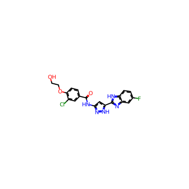 O=C(Nc1cc(-c2nc3cc(F)ccc3[nH]2)[nH]n1)c1ccc(OCCO)c(Cl)c1